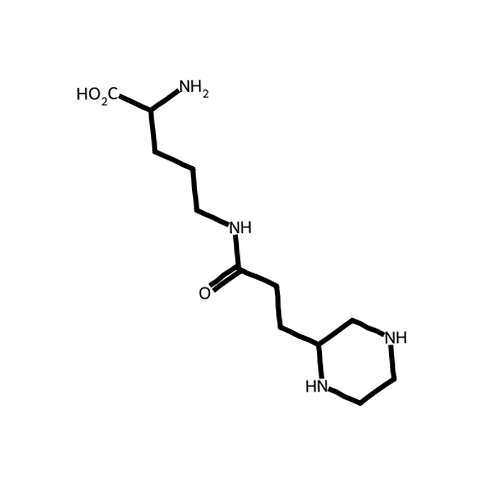 NC(CCCNC(=O)CCC1CNCCN1)C(=O)O